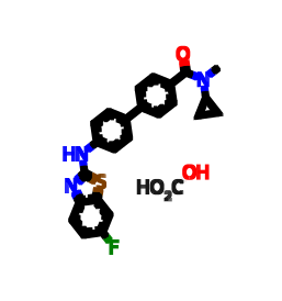 CN(C(=O)c1ccc(-c2ccc(Nc3nc4ccc(F)cc4s3)cc2)cc1)C1CC1.O=C(O)O